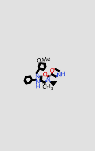 COc1cccc(CN2C=C([C@@H](C)N(C(=O)[C@H]3CNCCO3)C3CC3)NC2c2ccccc2)c1